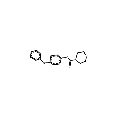 O=C(Oc1ccc(Oc2ccccc2)cc1)N1CCOCC1